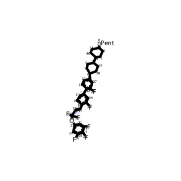 CCCCCC1CCC(C2CCC(c3ccc(-c4ccc(/C=C/C(F)(F)Oc5cc(F)c(F)c(F)c5)c(F)c4)c(F)c3)CC2)CC1